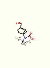 CC(C)(C)N(C(=O)O)C12CCC(C=O)(CC1)C2